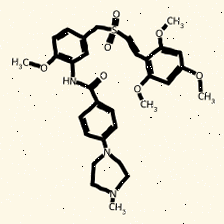 COc1cc(OC)c(C=CS(=O)(=O)Cc2ccc(OC)c(NC(=O)c3ccc(N4CCN(C)CC4)cc3)c2)c(OC)c1